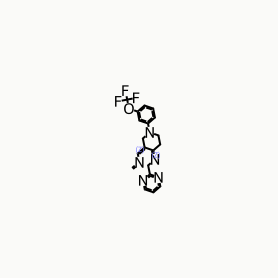 C=N/C=C1/CN(c2cccc(OC(F)(F)F)c2)CC/C1=N/Cc1ncccn1